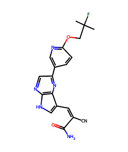 CC(C)(F)COc1ccc(-c2cnc3[nH]cc(C=C(C#N)C(N)=O)c3n2)cn1